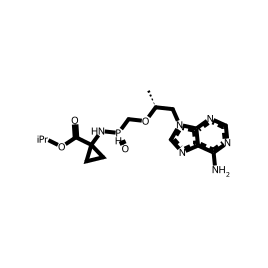 CC(C)OC(=O)C1(N[PH](=O)CO[C@H](C)Cn2cnc3c(N)ncnc32)CC1